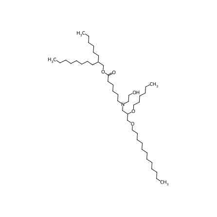 CCCCCCCCCCCCOCC(CN(CCO)CCCCCC(=O)OCC(CCCCCC)CCCCCCCC)OCCCCCC